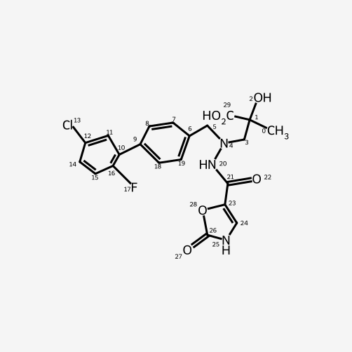 CC(O)(CN(Cc1ccc(-c2cc(Cl)ccc2F)cc1)NC(=O)c1c[nH]c(=O)o1)C(=O)O